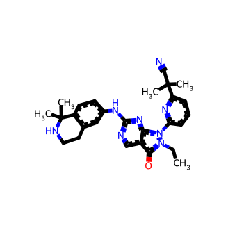 CCn1c(=O)c2cnc(Nc3ccc4c(c3)CCNC4(C)C)nc2n1-c1cccc(C(C)(C)C#N)n1